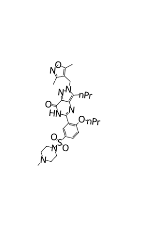 CCCOc1ccc(S(=O)(=O)N2CCN(C)CC2)cc1-c1nc2c(CCC)n(Cc3c(C)noc3C)nc2c(=O)[nH]1